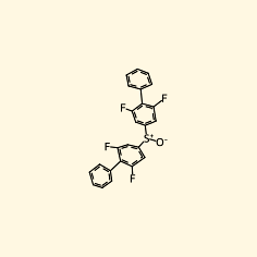 [O-][S+](c1cc(F)c(-c2ccccc2)c(F)c1)c1cc(F)c(-c2ccccc2)c(F)c1